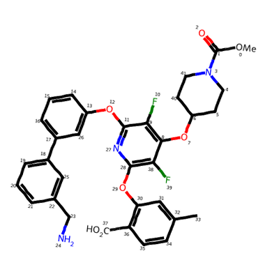 COC(=O)N1CCC(Oc2c(F)c(Oc3cccc(-c4cccc(CN)c4)c3)nc(Oc3cc(C)ccc3C(=O)O)c2F)CC1